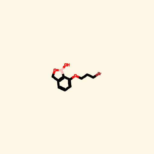 OB1OCc2cccc(OCCCBr)c21